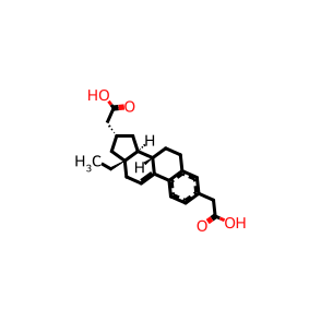 CC[C@]12CC=C3c4ccc(CC(=O)O)cc4CC[C@H]3[C@@H]1C[C@@H](CC(=O)O)C2